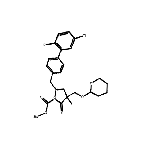 CC(C)(C)OC(=O)N1C(=O)C(C)(COC2CCCCO2)CC1Cc1ccc(-c2cc(Cl)ccc2F)cc1